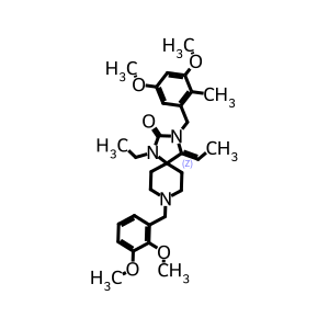 C/C=C1\N(Cc2cc(OC)cc(OC)c2C)C(=O)N(CC)C12CCN(Cc1cccc(OC)c1OC)CC2